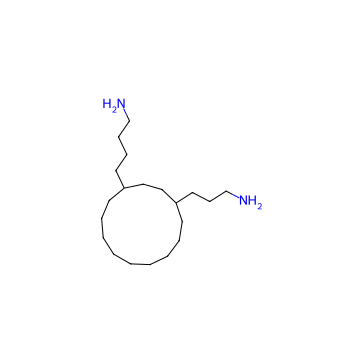 NCCCCC1CCCCCCCCCC(CCCN)CC1